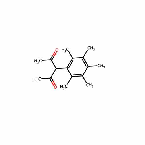 CC(=O)C(C(C)=O)c1c(C)c(C)c(C)c(C)c1C